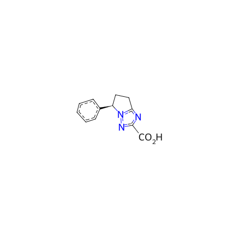 O=C(O)c1nc2n(n1)[C@@H](c1ccccc1)CC2